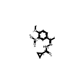 COc1ccc(/C(C)=N\NC(=O)C2CC2)cc1[N+](=O)[O-]